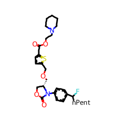 CCCCCC(F)c1ccc(N2C(=O)OC[C@@H]2COCc2ccc(C(=O)OCCN3CCCCC3)s2)cc1